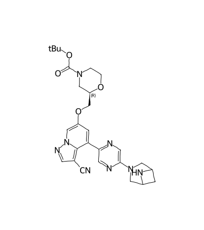 CC(C)(C)OC(=O)N1CCO[C@@H](COc2cc(-c3cnc(N4CC5CC(C4)N5)cn3)c3c(C#N)cnn3c2)C1